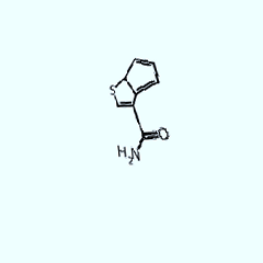 NC(=O)C1=CSC2C=CC=C12